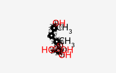 Cc1cc(-c2cccc(-c3ccc(O[C@H]4OC(CO)CC(O)C4O)c(C)c3)c2)ccc1O